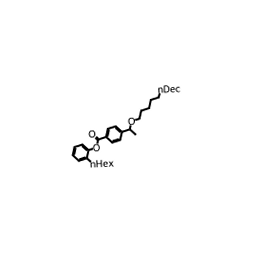 CCCCCCCCCCCCCCCOC(C)c1ccc(C(=O)Oc2ccccc2CCCCCC)cc1